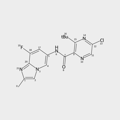 Cc1cn2cc(NC(=O)c3ncc(Cl)nc3C(C)(C)C)cc(F)c2n1